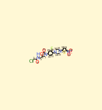 O=C(CCl)NCC1CN(c2ccc(N3CCN(c4ccc([N+](=O)[O-])s4)CC3)c(F)c2)C(=O)O1